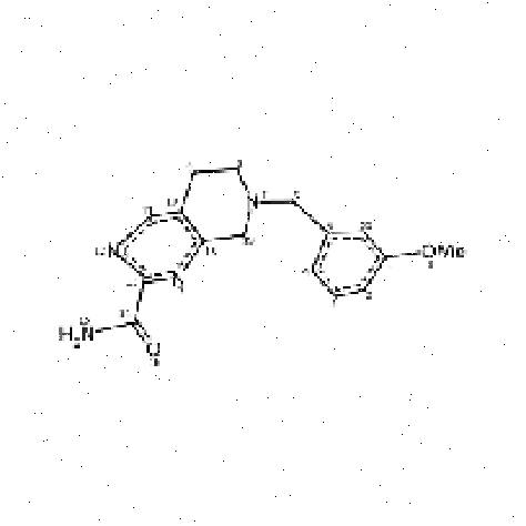 COc1cccc(CN2CCc3[c]nc(C(N)=O)nc3C2)c1